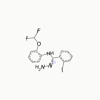 N/N=C(\Nc1ccccc1OC(F)F)c1ccccc1I